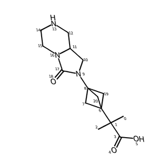 CC(C)(C(=O)O)C12CC(N3CC4CNCCN4C3=O)(C1)C2